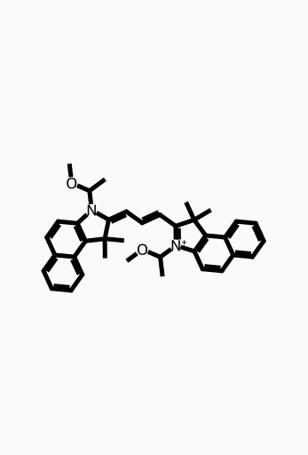 COC(C)N1/C(=C/C=C/C2=[N+](C(C)OC)c3ccc4ccccc4c3C2(C)C)C(C)(C)c2c1ccc1ccccc21